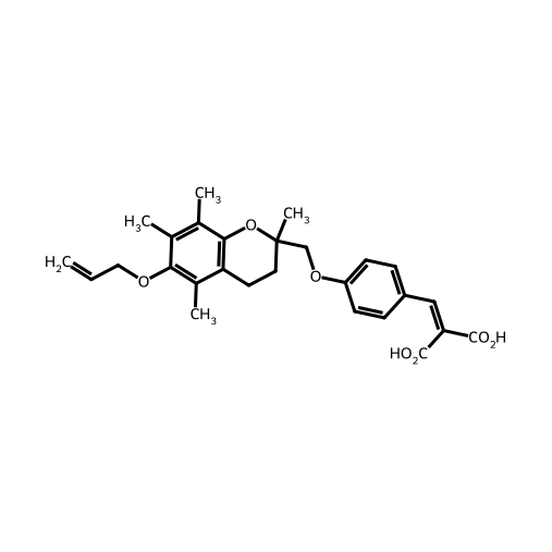 C=CCOc1c(C)c(C)c2c(c1C)CCC(C)(COc1ccc(C=C(C(=O)O)C(=O)O)cc1)O2